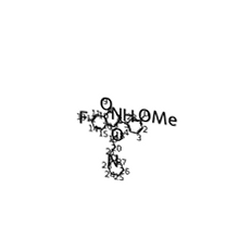 COc1cccc(-c2[nH]c(=O)c3cc(F)ccc3c2OCCCN2CCCCC2)c1